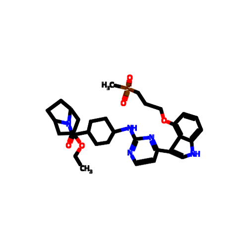 CCOC1CC2CCC(C1)N2C(=O)C1CCC(Nc2nccc(-c3c[nH]c4cccc(OCCCS(C)(=O)=O)c34)n2)CC1